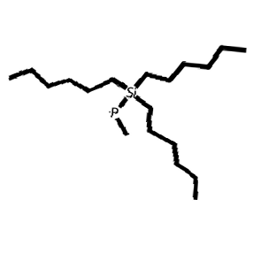 CCCCCC[Si](CCCCCC)(CCCCCC)[P]C